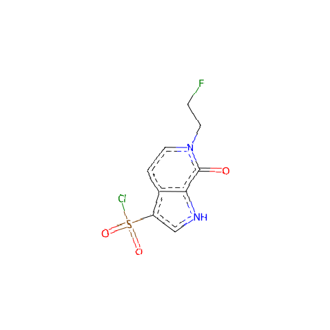 O=c1c2[nH]cc(S(=O)(=O)Cl)c2ccn1CCF